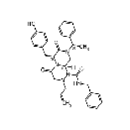 C=CCN1CC(=O)N2[C@@H](Cc3ccc(O)cc3)C(=O)N([C@H](C)c3ccccc3)C[C@@H]2N1C(=O)NCc1ccccc1